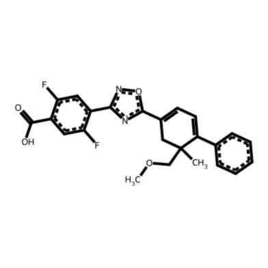 COCC1(C)CC(c2nc(-c3cc(F)c(C(=O)O)cc3F)no2)=CC=C1c1ccccc1